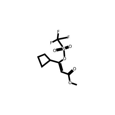 COC(=O)/C=C(\OS(=O)(=O)C(F)(F)F)C1CCC1